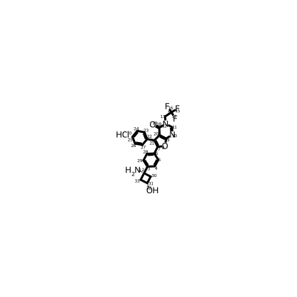 Cl.N[C@]1(c2ccc(-c3oc4ncn(CC(F)(F)F)c(=O)c4c3-c3ccccc3)cc2)C[C@H](O)C1